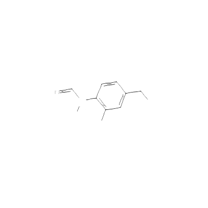 N=C[SH2+]([O-])c1ccc(CO)cc1F